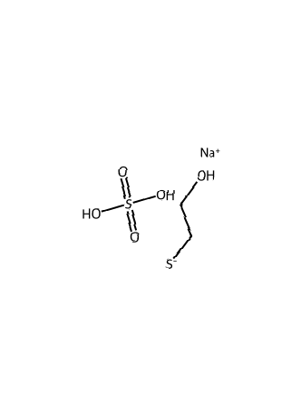 O=S(=O)(O)O.OCC[S-].[Na+]